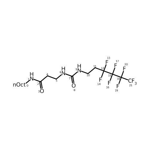 CCCCCCCCNC(=O)CCNC(=O)NCCC(F)(F)C(F)(F)C(F)(F)C(F)(F)F